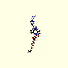 CN(C)CCN1CCN(CCCn2nnc3c2-c2ccccc2CN(C(=O)CCC(=O)NCCOCCOCCC(C)(C)C)c2ccccc2-3)CC1